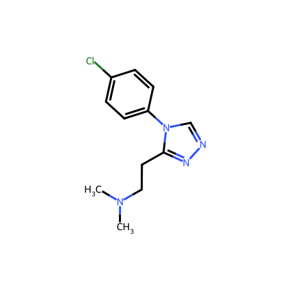 CN(C)CCc1nncn1-c1ccc(Cl)cc1